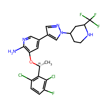 C[C@@H](Oc1cc(-c2cnn(C3CCNC(C(F)(F)F)C3)c2)cnc1N)c1c(Cl)ccc(F)c1Cl